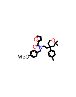 COc1ccc(CN(CCC2(c3ccc(C)cc3)CCOC(C)(C)C2)C(=O)c2ccco2)cc1